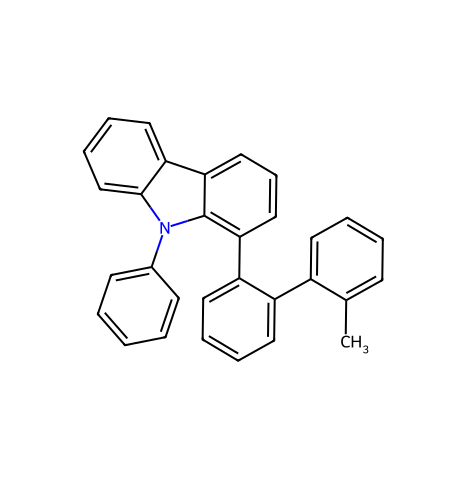 Cc1ccccc1-c1ccccc1-c1cccc2c3ccccc3n(-c3ccccc3)c12